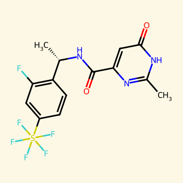 Cc1nc(C(=O)N[C@@H](C)c2ccc(S(F)(F)(F)(F)F)cc2F)cc(=O)[nH]1